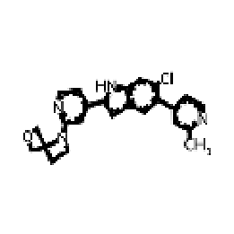 Cc1cc(-c2cc3cc(-c4ccnc(N5CCC56COC6)c4)[nH]c3cc2Cl)ccn1